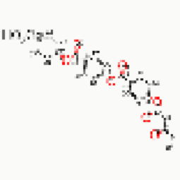 C=CC(=O)CC(=O)Oc1ccc(C(=O)Oc2ccc(C(=O)OC3CCC(C(=O)O)CC3)cc2)cc1